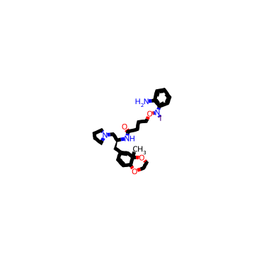 CC12C=C(C[C@@H](CN3CCCC3)NC(=O)CCCON(I)c3ccccc3N)C=CC1OCCO2